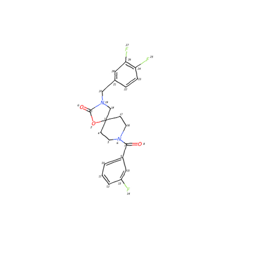 O=C1OC2(CCN(C(=O)c3cccc(F)c3)CC2)CN1Cc1ccc(F)c(F)c1